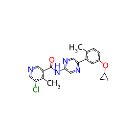 Cc1ccc(OC2CC2)cc1-c1cnc(NC(=O)c2cncc(Cl)c2C)cn1